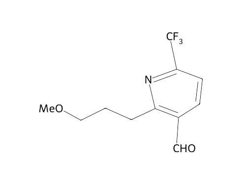 COCCCc1nc(C(F)(F)F)ccc1C=O